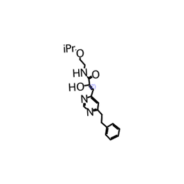 CC(C)OCCNC(=O)/C(O)=C/c1cc(CCc2ccccc2)ncn1